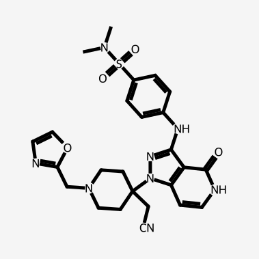 CN(C)S(=O)(=O)c1ccc(Nc2nn(C3(CC#N)CCN(Cc4ncco4)CC3)c3cc[nH]c(=O)c23)cc1